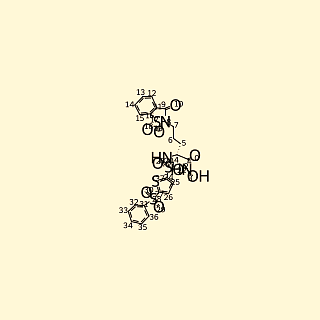 O=C(NO)[C@@H](CCCN1C(=O)c2ccccc2S1(=O)=O)NS(=O)(=O)c1ccc(S(=O)(=O)c2ccccc2)s1